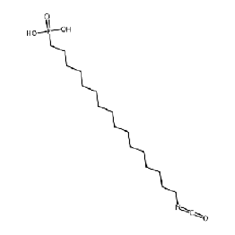 O=C=NCCCCCCCCCCCCCCCCP(=O)(O)O